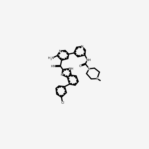 CN1CCN(C(=O)Nc2cncc(-c3cnc(N)c(C(=N)c4nc5c(-c6cccc(Cl)c6)cccc5[nH]4)c3)c2)CC1